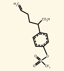 C=CCCC(C(=O)O)c1ccc(OS(=O)(=O)C(F)(F)F)cc1